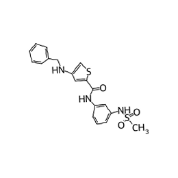 CS(=O)(=O)Nc1cccc(NC(=O)c2cc(NCc3ccccc3)cs2)c1